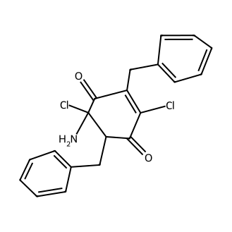 NC1(Cl)C(=O)C(Cc2ccccc2)=C(Cl)C(=O)C1Cc1ccccc1